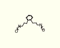 O=C=NCCCc1ccccc1CCCN=C=O